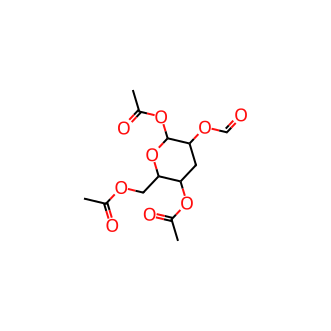 CC(=O)OCC1OC(OC(C)=O)C(OC=O)CC1OC(C)=O